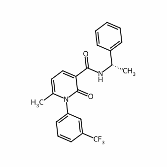 Cc1ccc(C(=O)N[C@@H](C)c2ccccc2)c(=O)n1-c1cccc(C(F)(F)F)c1